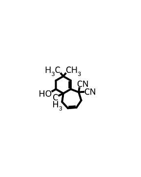 CC1(C)C=C2C(C#N)(C#N)CC=CCC2(C)C(O)C1